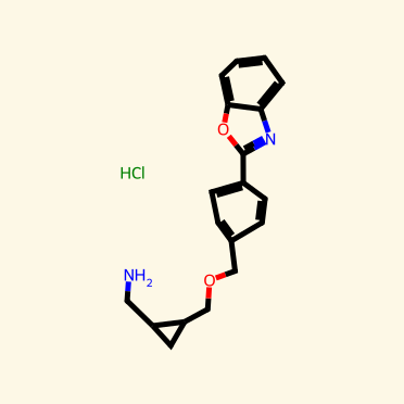 Cl.NCC1CC1COCc1ccc(-c2nc3ccccc3o2)cc1